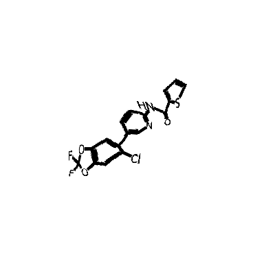 O=C(Nc1ccc(-c2cc3c(cc2Cl)OC(F)(F)O3)cn1)c1cccs1